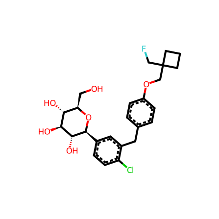 OC[C@H]1O[C@@H](c2ccc(Cl)c(Cc3ccc(OCC4(CF)CCC4)cc3)c2)[C@H](O)[C@@H](O)[C@@H]1O